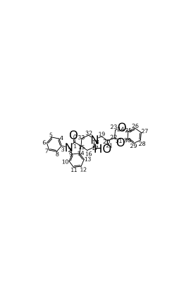 O=C1N(c2ccccc2)c2ccccc2C12CCN(CC(O)C1COc3ccccc3O1)CC2